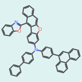 c1ccc(-c2ccc(N(c3ccc(-c4cc5ccccc5c5ccccc45)cc3)c3ccc4c(c3)oc3cc5ccccc5c(-c5nc6ccccc6o5)c34)cc2)cc1